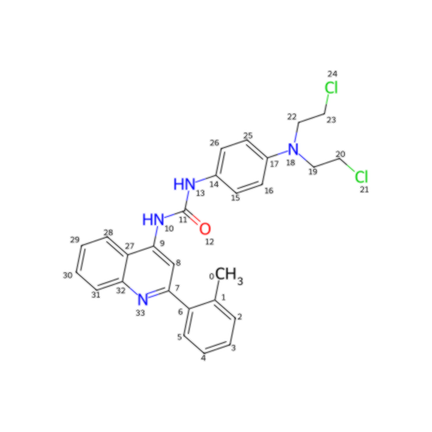 Cc1ccccc1-c1cc(NC(=O)Nc2ccc(N(CCCl)CCCl)cc2)c2ccccc2n1